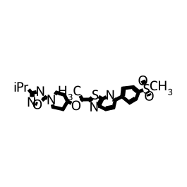 CC(C)c1noc(N2CCC(OC(C)c3nc4ccc(-c5ccc(S(C)(=O)=O)cc5)nc4s3)CC2)n1